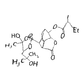 CCC(I)C(=O)OC1C2CC3C1OC(=O)C3C2C(=O)OC(CC(C)(C)O)C(C)(C)O